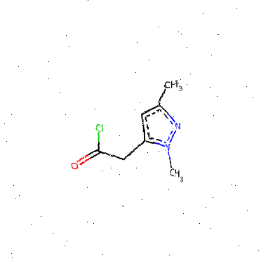 Cc1cc(CC(=O)Cl)n(C)n1